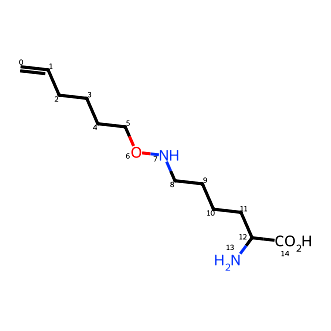 C=CCCCCONCCCCC(N)C(=O)O